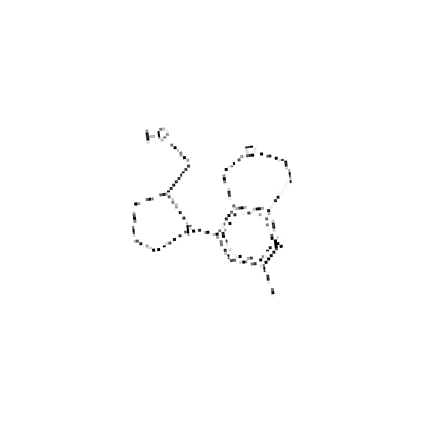 Cc1cc(N2CCCC2CO)c2c(n1)CCOC2